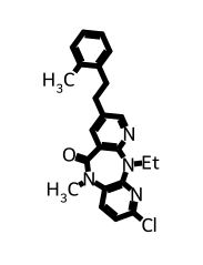 CCN1c2ncc(CCc3ccccc3C)cc2C(=O)N(C)c2ccc(Cl)nc21